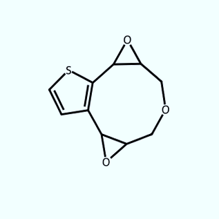 c1cc2c(s1)C1OC1COCC1OC21